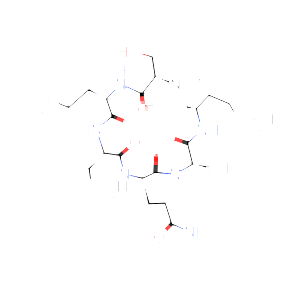 CC(=O)N[C@H](CO)C(=O)N[C@H](CCC(=O)O)C(=O)N[C@H](CC(=O)O)C(=O)N[C@H](CCC(N)=O)C(=O)N[C@H](C)C(=O)N[C@H](CCC(=O)O)C(=O)O